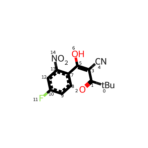 CC(C)(C)C(=O)C(C#N)=C(O)c1ccc(F)cc1[N+](=O)[O-]